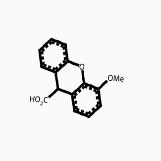 COc1cccc2c1Oc1ccccc1C2C(=O)O